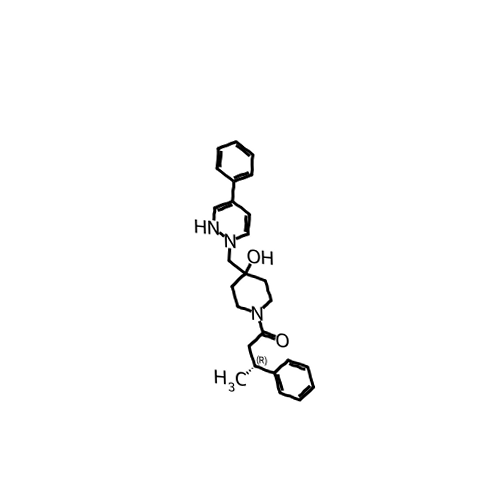 C[C@H](CC(=O)N1CCC(O)(CN2C=CC(c3ccccc3)=CN2)CC1)c1ccccc1